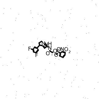 C[C@@H](OS(=O)(=O)c1ccccc1[N+](=O)[O-])C(=O)Nc1cc2n(n1)CCC2c1cc(F)cc(F)c1